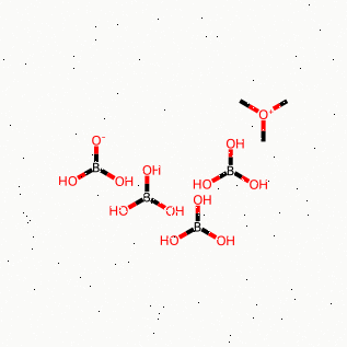 C[O+](C)C.OB(O)O.OB(O)O.OB(O)O.[O-]B(O)O